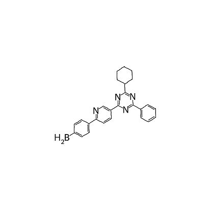 Bc1ccc(-c2ccc(-c3nc(-c4ccccc4)nc(C4CCCCC4)n3)cn2)cc1